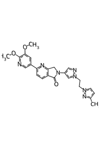 COc1cc(-c2ccc3c(n2)CN(c2cnn(CCn4ccc(C)n4)c2)C3=O)cnc1OC